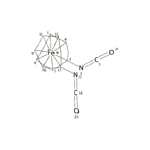 O=C=N[C]12[CH]3[CH]4[CH]5[CH]1[Fe]45321678[CH]2[CH]1[CH]6[C]7(N=C=O)[CH]28